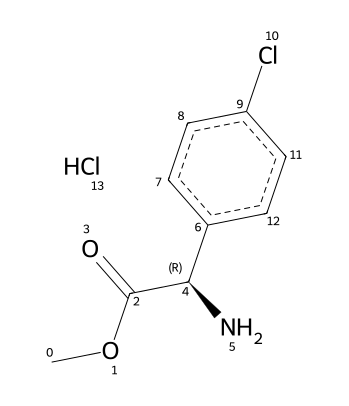 COC(=O)[C@H](N)c1ccc(Cl)cc1.Cl